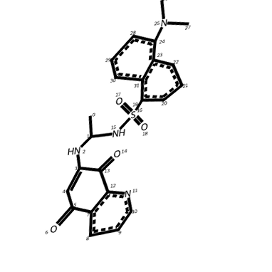 CC(NC1=CC(=O)c2cccnc2C1=O)NS(=O)(=O)c1cccc2c(N(C)C)cccc12